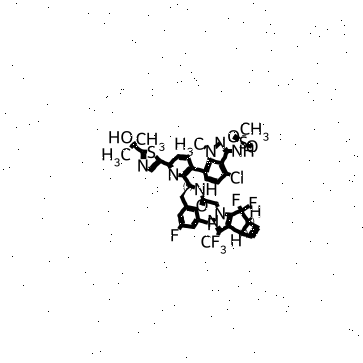 Cn1nc(NS(C)(=O)=O)c2c(Cl)ccc(-c3ccc(-c4cnc(C(C)(C)O)s4)nc3[C@H](Cc3cc(F)cc(F)c3)NC(=O)Cn3nc(C(F)(F)F)c4c3C(F)(F)[C@@H]3C#C[C@H]43)c21